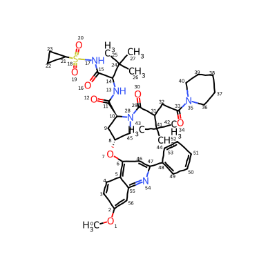 COc1ccc2c(O[C@@H]3C[C@@H](C(=O)NC(C(=O)NS(=O)(=O)C4CC4)C(C)(C)C)N(C(=O)C(CC(=O)N4CCCCC4)C(C)(C)C)C3)cc(-c3ccccc3)nc2c1